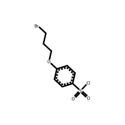 O=S(=O)(Cl)c1ccc(OCCCBr)cc1